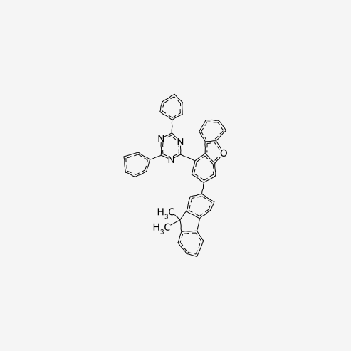 CC1(C)c2ccccc2-c2ccc(-c3cc(-c4nc(-c5ccccc5)nc(-c5ccccc5)n4)c4c(c3)oc3ccccc34)cc21